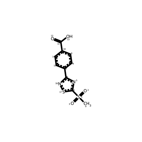 CS(=O)(=O)c1nc(-c2ccc(C(=O)O)cc2)ns1